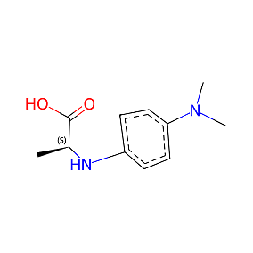 C[C@H](Nc1ccc(N(C)C)cc1)C(=O)O